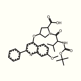 COc1ccc2c(OC3CC(C(=O)O)N(C(=O)C(NC(=O)OC(C)(C)C)C(C)C)C3)cc(-c3ccccc3)nc2c1